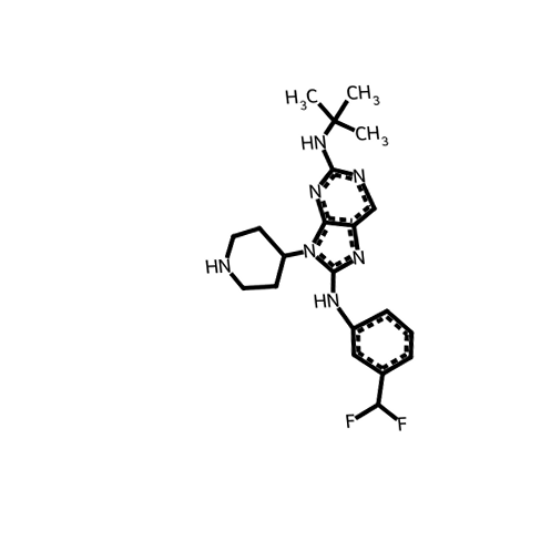 CC(C)(C)Nc1ncc2nc(Nc3cccc(C(F)F)c3)n(C3CCNCC3)c2n1